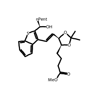 CCCCC[C@@H](O)c1sc2ccccc2c1/C=C/[C@H]1OC(C)(C)O[C@H]1CCCC(=O)OC